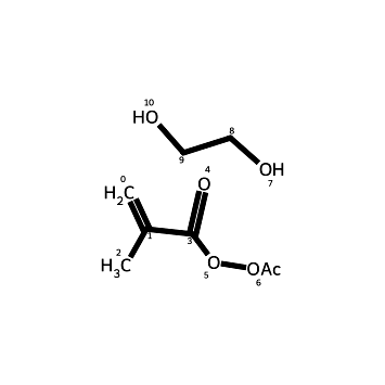 C=C(C)C(=O)OOC(C)=O.OCCO